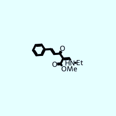 CCNC=C(C(=O)C=Cc1ccccc1)C(=O)OC